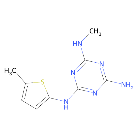 CNc1nc(N)nc(Nc2ccc(C)s2)n1